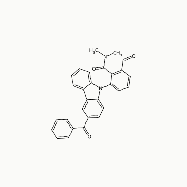 CN(C)C(=O)c1c(C=O)cccc1-n1c2ccccc2c2cc(C(=O)c3ccccc3)ccc21